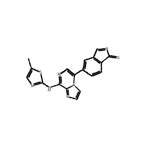 Cc1cnc(Nc2ncc(-c3ccc4c(c3)C=NC4=O)n3ccnc23)s1